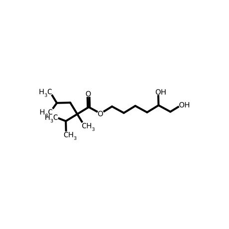 CC(C)CC(C)(C(=O)OCCCCC(O)CO)C(C)C